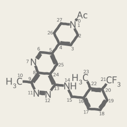 CC(=O)N1CC=C(c2cnc3c(C)nnc(NCc4cccc(C(F)(F)F)c4C)c3c2)CC1